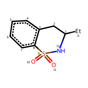 CCC1Cc2ccccc2S(=O)(=O)N1